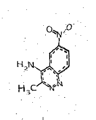 Cc1nnc2ccc([N+](=O)[O-])cc2c1N